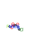 O=C(Cn1cnc2cc(C(=O)N3CCN(c4cccc(Cl)c4)CC3)ccc2c1=O)N1CCC(F)CC1